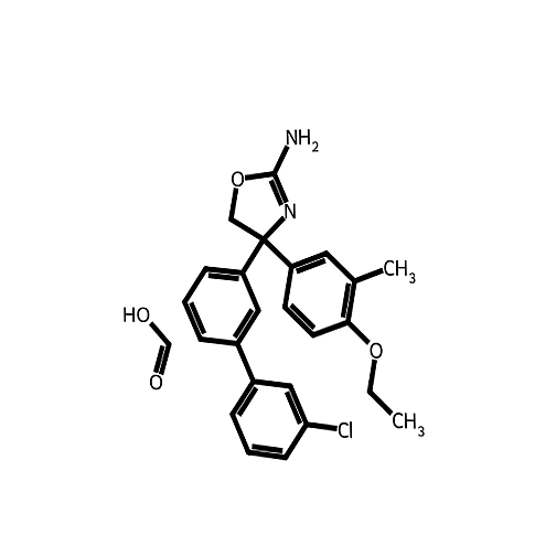 CCOc1ccc(C2(c3cccc(-c4cccc(Cl)c4)c3)COC(N)=N2)cc1C.O=CO